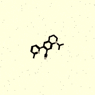 Cc1cccc(-c2cc3c(cc2C#N)N(C(C)C)CCC3)n1